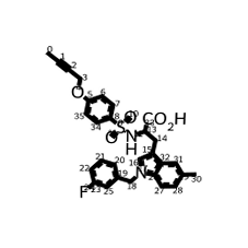 CC#CCOc1ccc(S(=O)(=O)NC(Cc2cn(Cc3cccc(F)c3)c3ccc(C)cc23)C(=O)O)cc1